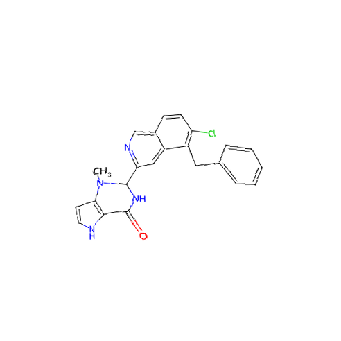 CN1c2cc[nH]c2C(=O)NC1c1cc2c(Cc3ccccc3)c(Cl)ccc2cn1